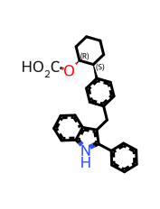 O=C(O)O[C@@H]1CCCC[C@H]1c1ccc(Cc2c(-c3ccccc3)[nH]c3ccccc23)cc1